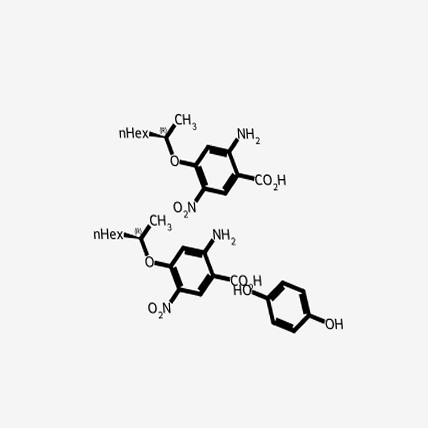 CCCCCC[C@@H](C)Oc1cc(N)c(C(=O)O)cc1[N+](=O)[O-].CCCCCC[C@@H](C)Oc1cc(N)c(C(=O)O)cc1[N+](=O)[O-].Oc1ccc(O)cc1